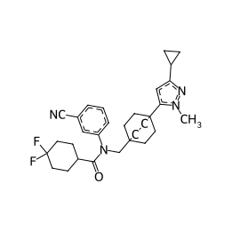 Cn1nc(C2CC2)cc1C12CCC(CN(C(=O)C3CCC(F)(F)CC3)c3cccc(C#N)c3)(CC1)CC2